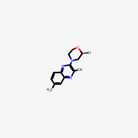 CC[C@H]1CN(c2nc3ccc(C)cc3nc2C#N)CCO1